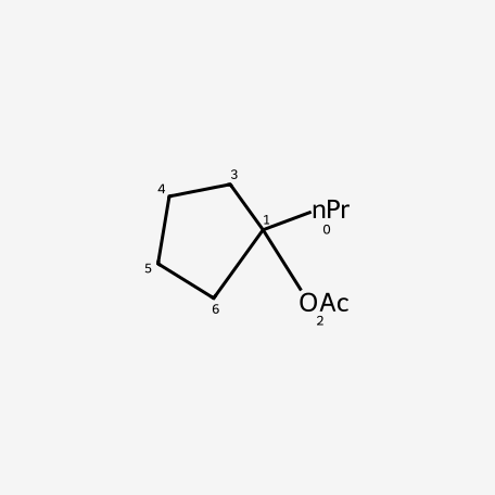 CCCC1(OC(C)=O)CCCC1